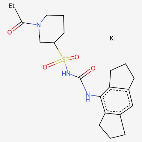 CCC(=O)N1CCCC(S(=O)(=O)NC(=O)Nc2c3c(cc4c2CCC4)CCC3)C1.[K]